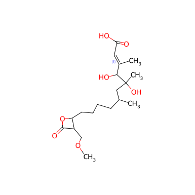 COCC1C(=O)OC1CCCCC(C)CC(C)(O)C(O)/C(C)=C/C(=O)O